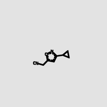 [C-]#[N+]Cc1cc(C2CC2)no1